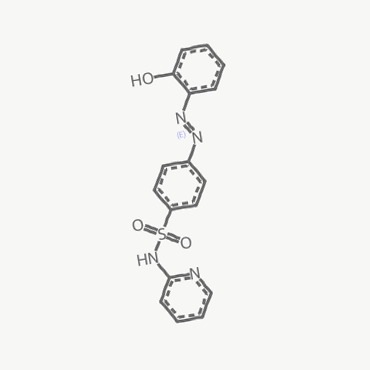 O=S(=O)(Nc1ccccn1)c1ccc(/N=N/c2ccccc2O)cc1